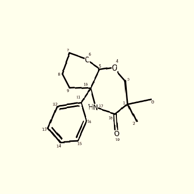 CC1(C)COC2CCCCC2(c2ccccc2)NC1=O